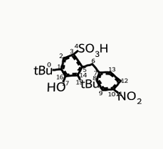 CC(C)(C)c1cc(S(=O)(=O)O)c(Cc2ccc([N+](=O)[O-])cc2)c(C(C)(C)C)c1O